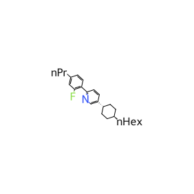 CCCCCC[C@H]1CC[C@H](c2ccc(-c3ccc(CCC)cc3F)nc2)CC1